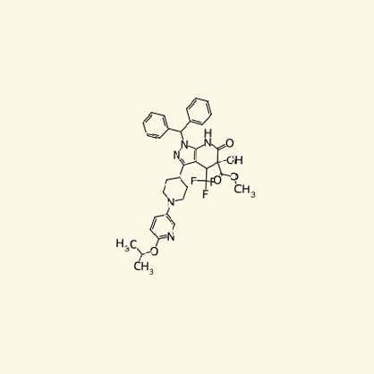 COC(=O)C1(O)C(=O)Nc2c(c(C3CCN(c4ccc(OC(C)C)nc4)CC3)nn2C(c2ccccc2)c2ccccc2)C1C(F)(F)F